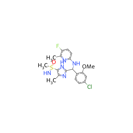 COc1cc(Cl)ccc1C(Nc1ccc(F)c(C)n1)c1nc(C)c(S(C)(=N)=O)[nH]1